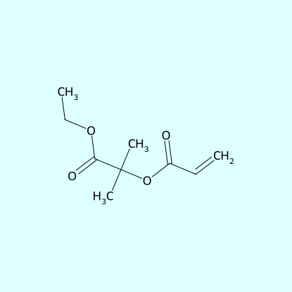 C=CC(=O)OC(C)(C)C(=O)OCC